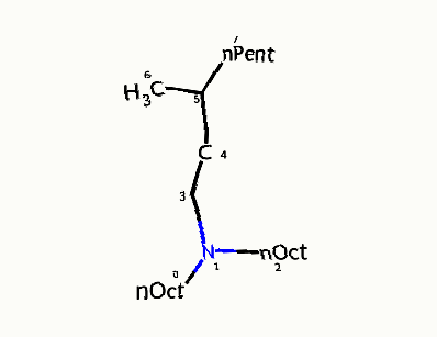 CCCCCCCCN(CCCCCCCC)CCC(C)CCCCC